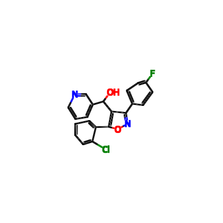 OC(c1cccnc1)c1c(-c2ccc(F)cc2)noc1-c1ccccc1Cl